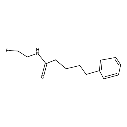 O=C(CCCCc1ccccc1)NCCF